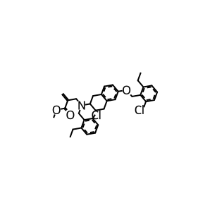 C=C(CN(Cc1c(Cl)cccc1CC)C1CCc2cc(OCc3c(Cl)cccc3CC)ccc2C1)C(=O)OC